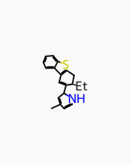 CC[C@@H]1Cc2sc3ccccc3c2C=C1C1C=C(C)C=CN1